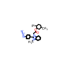 CC(C)C1CC[C@@H](C)C[C@H]1OC(=O)Cn1c(-c2ccc(N=[N+]=[N-])cc2)[n+](C)c2ccccc21